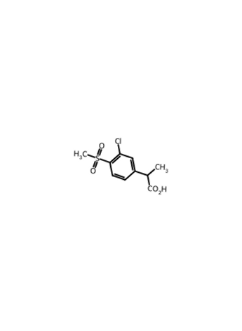 CC(C(=O)O)c1ccc(S(C)(=O)=O)c(Cl)c1